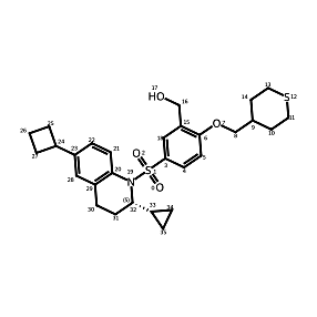 O=S(=O)(c1ccc(OCC2CCSCC2)c(CO)c1)N1c2ccc(C3CCC3)cc2CC[C@H]1C1CC1